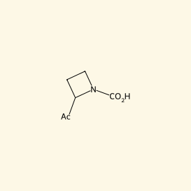 CC(=O)C1CCN1C(=O)O